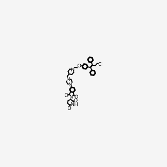 O=C1CCC(N2C(=O)c3ccc(N4CCN(CC5CCN(CCOc6ccc(C(=C(CCCl)c7ccccc7)c7ccccc7)cc6)CC5)CC4)cc3C2=O)C(=O)N1